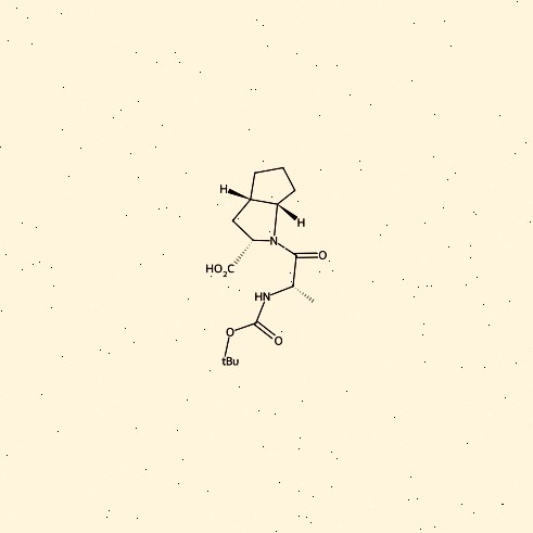 C[C@H](NC(=O)OC(C)(C)C)C(=O)N1[C@H](C(=O)O)C[C@@H]2CCC[C@@H]21